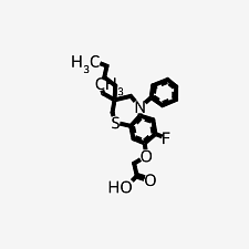 CCCCC1(CC)CSc2cc(OCC(=O)O)c(F)cc2N(c2ccccc2)C1